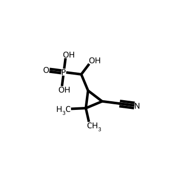 CC1(C)C(C#N)C1C(O)P(=O)(O)O